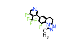 Cc1nnc2n1-c1c(F)cc(-c3cncc(F)c3C(F)(F)F)cc1CC2